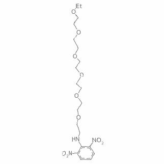 CCOCCOCCOCCOCCOCCOCCNc1c([N+](=O)[O-])cccc1[N+](=O)[O-]